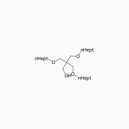 CCCCCCCOCC(CO)(COCCCCCCC)COCCCCCCC